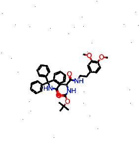 COc1ccc(CCNC(=O)C(CC(=O)NC(c2ccccc2)(c2ccccc2)c2ccccc2)NC(=O)OC(C)(C)C)cc1OC